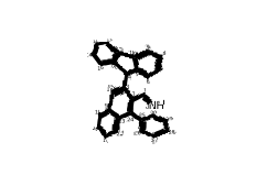 N=Cc1c(C2c3ccccc3-c3ccccc32)cc2ccccc2c1-c1ccccc1